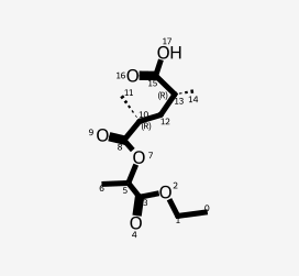 CCOC(=O)C(C)OC(=O)[C@H](C)C[C@@H](C)C(=O)O